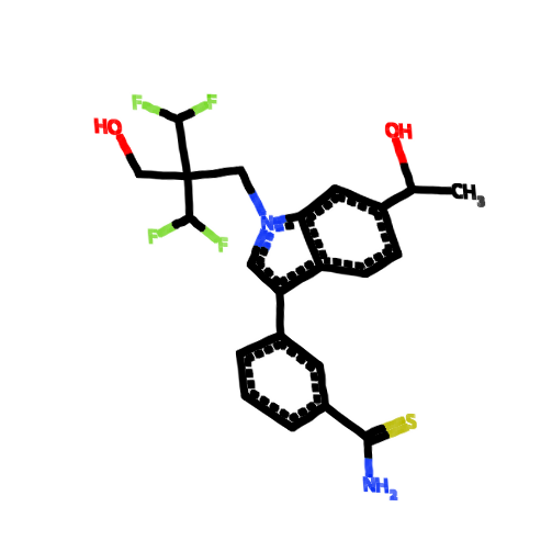 CC(O)c1ccc2c(-c3cccc(C(N)=S)c3)cn(CC(CO)(C(F)F)C(F)F)c2c1